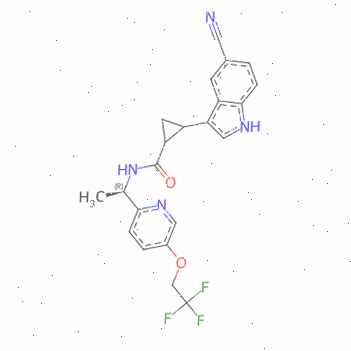 C[C@@H](NC(=O)C1CC1c1c[nH]c2ccc(C#N)cc12)c1ccc(OCC(F)(F)F)cn1